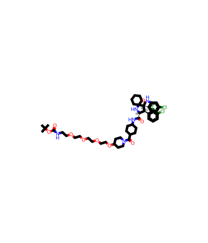 CC(C)(C)OC(=O)NCCOCCOCCOCCOC1CCN(C(=O)C2CCC(NC(=O)[C@@H]3NC4(CCCCC4)[C@@]4(C(=O)Nc5cc(Cl)ccc54)[C@H]3c3cccc(Cl)c3F)CC2)CC1